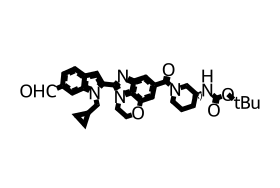 CC(C)(C)OC(=O)N[C@@H]1CCCN(C(=O)c2cc3c4c(c2)nc(-c2cc5ccc(C=O)cc5n2CC2CC2)n4CCO3)C1